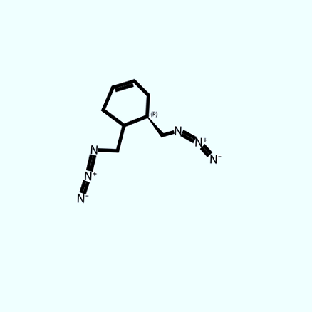 [N-]=[N+]=NCC1CC=CC[C@H]1CN=[N+]=[N-]